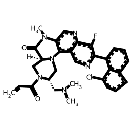 C=CC(=O)N1C[C@H]2C(=O)N(C)c3cnc4c(F)c(-c5cccc6cccc(Cl)c56)ncc4c3N2C[C@@H]1CN(C)C